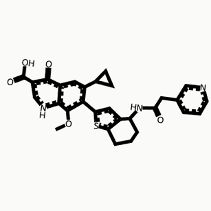 COc1c(-c2cc3c(s2)CCCC3NC(=O)Cc2cccnc2)c(C2CC2)cc2c(=O)c(C(=O)O)c[nH]c12